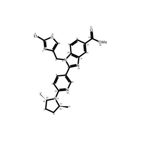 CCc1nc(Cn2c(-c3ccc(N4[C@@H](C)CC[C@@H]4C)nc3)nc3cc(C(=O)OC)ccc32)co1